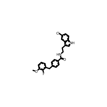 COc1cccc(Cc2ccc(C(=O)NCCc3c[nH]c4ccc(Cl)cc34)cc2)c1F